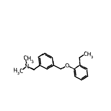 CCc1ccccc1OCc1cccc(CN(C)C)c1